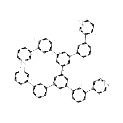 c1cncc(-c2cccc(-c3cc(-c4cccc(-c5ccncc5)c4)cc(-c4cc(-c5cccc(-c6cccnc6)c5)cc(-c5cccc(-c6cccnc6)c5)c4)c3)c2)c1